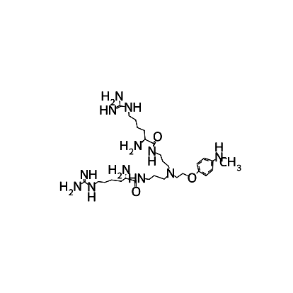 CNc1ccc(OCCN(CCCNC(=O)[C@@H](N)CCCCNC(=N)N)CCCNC(=O)[C@@H](N)CCCCNC(=N)N)cc1